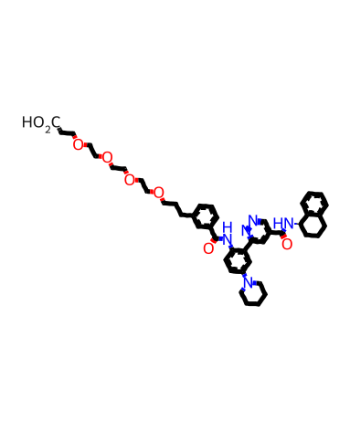 O=C(O)CCOCCOCCOCCOCCCc1cccc(C(=O)Nc2ccc(N3CCCCC3)cc2-c2cc(C(=O)N[C@H]3CCCc4ccccc43)cnn2)c1